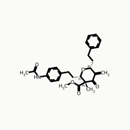 C=C1C(=O)[C@](C)(C(=O)OC)[C@H](CCc2ccc(NC(C)=O)cc2)O[C@@H]1CCc1ccccc1